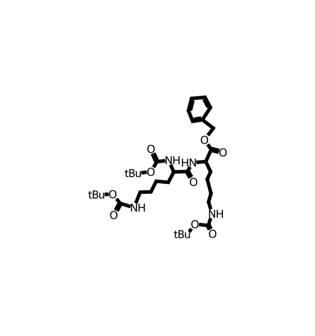 CC(C)(C)OC(=O)NCCCCC(NC(=O)OC(C)(C)C)C(=O)NC(CCCCNC(=O)OC(C)(C)C)C(=O)OCc1ccccc1